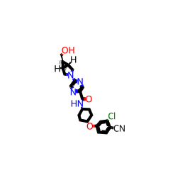 N#Cc1ccc(O[C@H]2CC[C@H](NC(=O)c3cnc(N4C[C@@H]5[C@@H](CO)[C@@H]5C4)cn3)CC2)cc1Cl